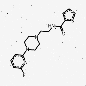 O=C(NCCN1CCN(c2cccc(F)n2)CC1)c1cccs1